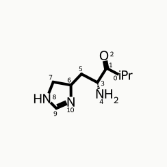 CC(C)C(=O)[C@H](N)CC1CNC=N1